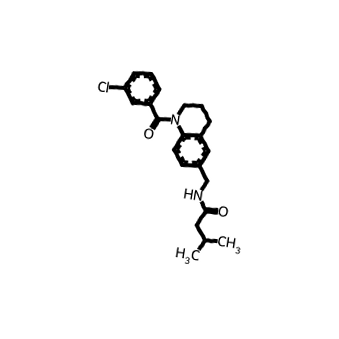 CC(C)CC(=O)NCc1ccc2c(c1)CCCN2C(=O)c1cccc(Cl)c1